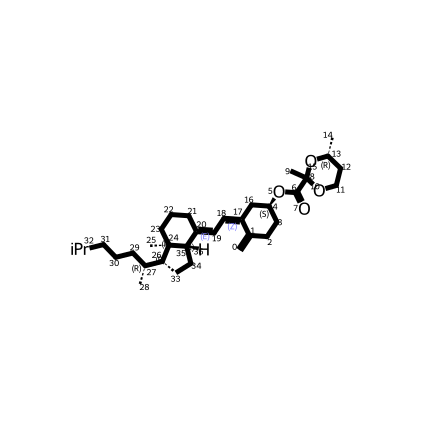 C=C1CC[C@H](OC(=O)C2(C)OCC[C@@H](C)O2)C/C1=C/C=C1\CCC[C@]2(C)[C@@H]([C@H](C)CCCC(C)C)CC[C@@H]12